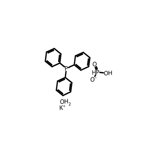 O.O=[PH]([O-])O.[K+].c1ccc(P(c2ccccc2)c2ccccc2)cc1